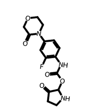 O=C(Nc1ccc(N2CCOCC2=O)cc1F)OC1NCCC1=O